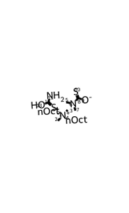 CCCCCCCC[N+](C)(C)CCCCCCCC.CN(C)C([O-])=S.NC(O)=S